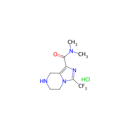 CN(C)C(=O)c1nc(C(F)(F)F)n2c1CNCC2.Cl